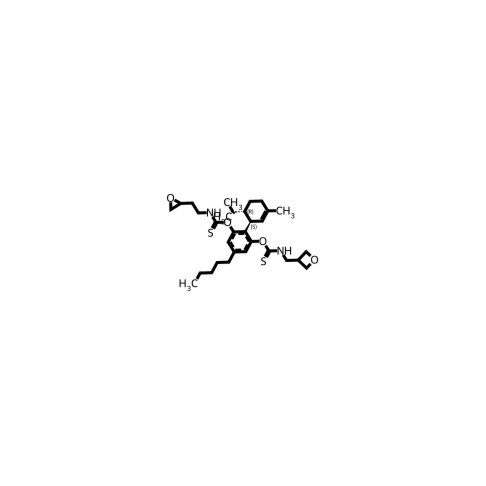 C=C(C)[C@@H]1CCC(C)=C[C@H]1c1c(OC(=S)NCCC2CO2)cc(CCCCC)cc1OC(=S)NCC1COC1